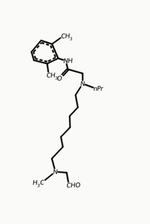 CCCN(CCCCCCCN(C)CC=O)CC(=O)Nc1c(C)cccc1C